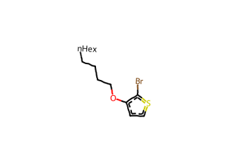 CCCCCCCCCCOc1ccsc1Br